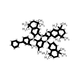 Cc1cc2c3c(c1)N(c1ccc4c(c1)C(C)(C)CCC4(C)C)c1c(sc4cc5c(cc14)C(C)(C)CCC5(C)C)B3c1cc3c(cc1N2c1ccc(-c2ccccc2)cc1C)C(C)(C)CCC3(C)C